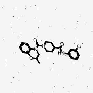 CC1CN(C(=O)N2CCC(C(=O)Nc3cccc(Cl)c3)CC2)c2ccccc2O1